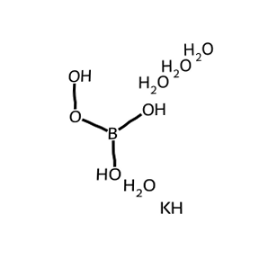 O.O.O.O.OOB(O)O.[KH]